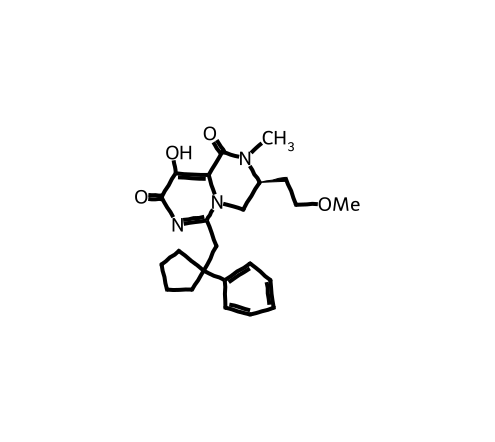 COCC[C@H]1Cn2c(CC3(c4ccccc4)CCCC3)nc(=O)c(O)c2C(=O)N1C